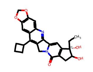 CC[C@]1(O)c2cc3n(c(=O)c2CC1O)Cc1c-3nc2cc3c(cc2c1C1CCC1)OCO3